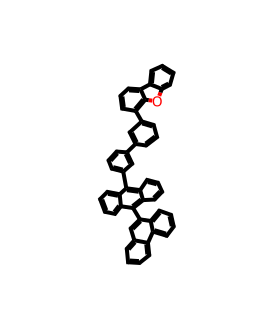 c1cc(-c2cccc(-c3cccc4c3oc3ccccc34)c2)cc(-c2c3ccccc3c(-c3cc4ccccc4c4ccccc34)c3ccccc23)c1